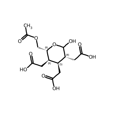 CC(=O)OC[C@@H]1OC(O)[C@H](CC(=O)O)[C@@H](CC(=O)O)[C@H]1CC(=O)O